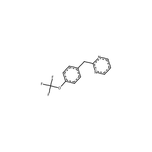 FC(F)(F)Oc1ccc(Cc2ncccn2)cc1